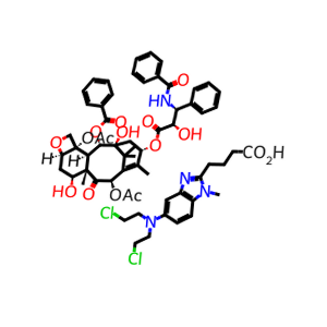 CC(=O)O[C@H]1C(=O)[C@@]2(C)[C@H]([C@H](OC(=O)c3ccccc3)[C@]3(O)C[C@H](OC(=O)[C@H](O)[C@@H](NC(=O)c4ccccc4)c4ccccc4)C(C)=C1C3(C)C)[C@]1(OC(C)=O)CO[C@@H]1C[C@@H]2O.Cn1c(CCCC(=O)O)nc2cc(N(CCCl)CCCl)ccc21